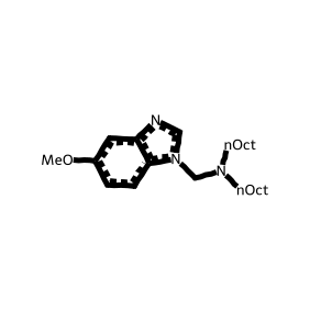 CCCCCCCCN(CCCCCCCC)Cn1cnc2cc(OC)ccc21